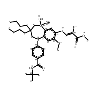 CCCCC1(CCCC)CN(c2ccc(C(=O)NC(C)(C)C)cc2)c2cc(SC)c(O/C=C(\F)C(=O)OC)cc2S(O)(O)C1